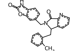 Cc1ccccc1CC1c2cccnc2C(=O)N1Cc1ccc2[nH]c(=O)oc2c1